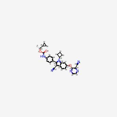 C[C@@H](OC(=O)Nc1ccc(-c2c(C#N)c3ccc(Oc4nccnc4C#N)cc3n2C2CCC2)cc1)C1CC1